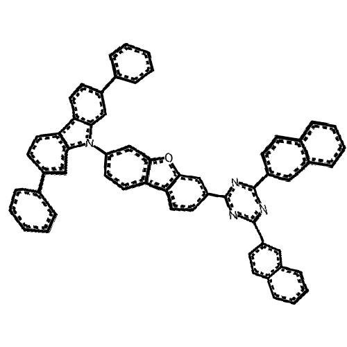 c1ccc(-c2ccc3c4ccc(-c5ccccc5)cc4n(-c4ccc5c(c4)oc4cc(-c6nc(-c7ccc8ccccc8c7)nc(-c7ccc8ccccc8c7)n6)ccc45)c3c2)cc1